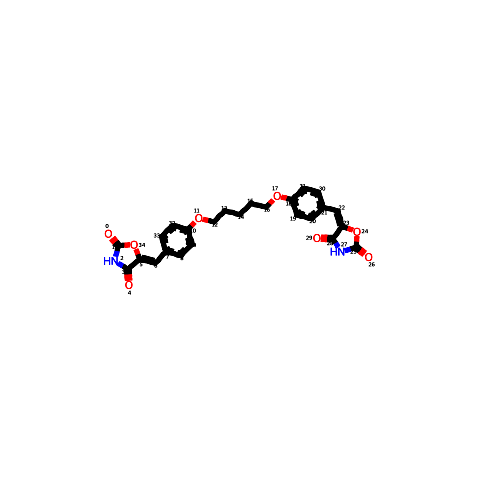 O=C1NC(=O)C(=Cc2ccc(OCCCCCOc3ccc(C=C4OC(=O)NC4=O)cc3)cc2)O1